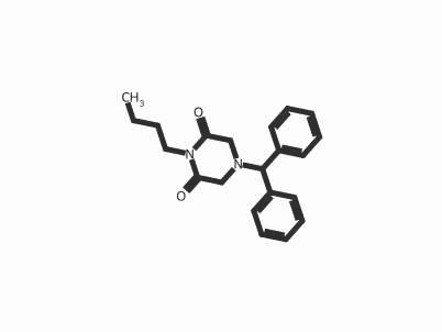 CCCCN1C(=O)CN(C(c2ccccc2)c2ccccc2)CC1=O